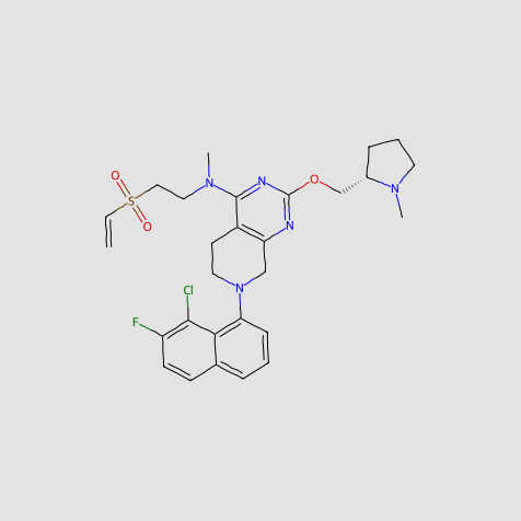 C=CS(=O)(=O)CCN(C)c1nc(OC[C@@H]2CCCN2C)nc2c1CCN(c1cccc3ccc(F)c(Cl)c13)C2